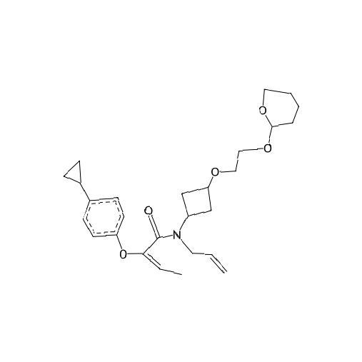 C=CCN(C(=O)C(=CC)Oc1ccc(C2CC2)cc1)C1CC(OCCOC2CCCCO2)C1